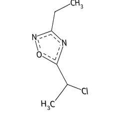 CCc1noc(C(C)Cl)n1